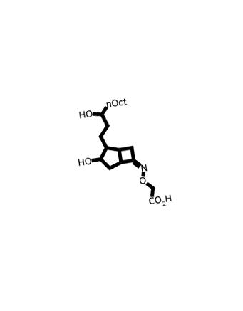 CCCCCCCCC(O)CCC1C(O)CC2C(=NOCC(=O)O)CC21